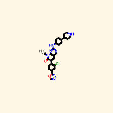 CCn1c(=O)c(-c2ccc(-c3nnco3)cc2Cl)cc2cnc(Nc3ccc(C4=CCNCC4)cc3)nc21